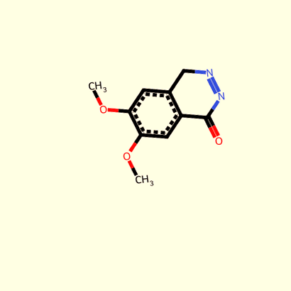 COc1cc2c(cc1OC)C(=O)N=NC2